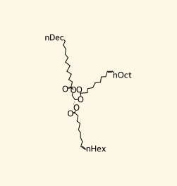 CCCCCC/C=C\CCCCCCCC(=O)OC[C@H](COC(=O)CCCCCCCCCCCCCCCCCCCCC)OC(=O)CCCCCCC/C=C\CCCCCCCC